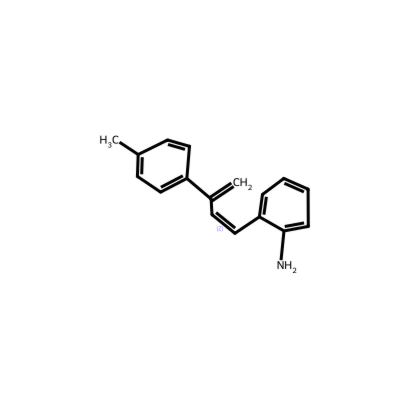 C=C(/C=C\c1ccccc1N)c1ccc(C)cc1